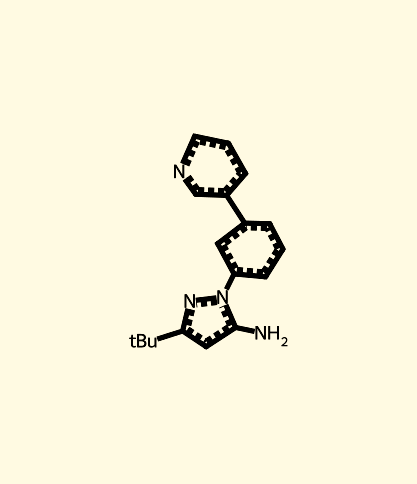 CC(C)(C)c1cc(N)n(-c2cccc(-c3cccnc3)c2)n1